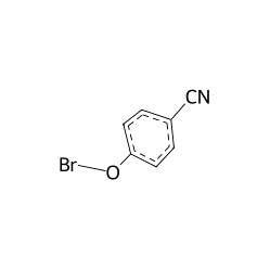 N#Cc1ccc(OBr)cc1